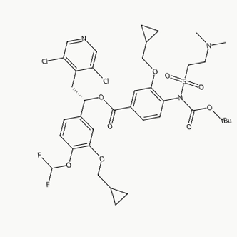 CN(C)CCS(=O)(=O)N(C(=O)OC(C)(C)C)c1ccc(C(=O)O[C@@H](Cc2c(Cl)cncc2Cl)c2ccc(OC(F)F)c(OCC3CC3)c2)cc1OCC1CC1